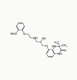 COc1ccccc1OCCNCC(O)COc1cccc2c1NC(C)(C)C(=O)N2